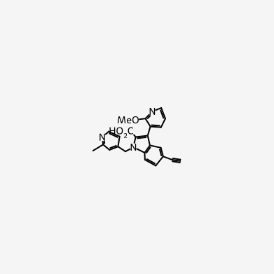 C#Cc1ccc2c(c1)c(-c1cccnc1OC)c(C(=O)O)n2Cc1ccnc(C)c1